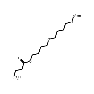 CCCCCOCCCCOCCCCOC(=O)CCC(=O)O